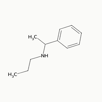 CCCNC(C)c1ccccc1